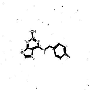 Oc1nc(NCc2ccc(F)cc2)c2nc[nH]c2n1